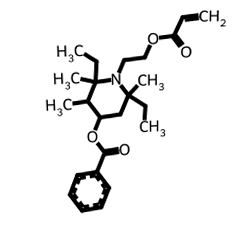 C=CC(=O)OCCN1C(C)(CC)CC(OC(=O)c2ccccc2)C(C)C1(C)CC